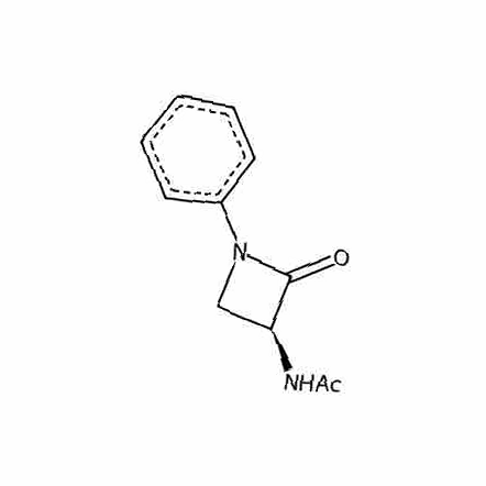 CC(=O)N[C@H]1CN(c2ccccc2)C1=O